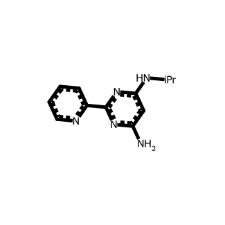 CC(C)Nc1cc(N)nc(-c2ccccn2)n1